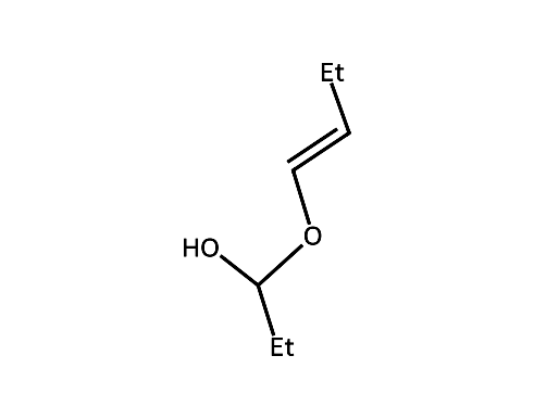 CC/C=C/OC(O)CC